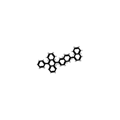 c1ccc(-c2c3ccccc3c(-c3ccc4cc(-c5cccc6ccccc56)ccc4c3)c3ccccc23)cc1